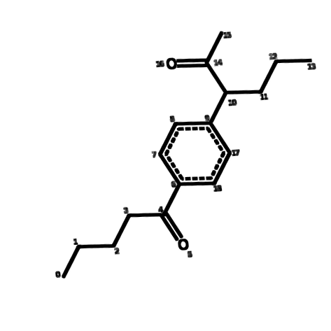 CCCCC(=O)c1ccc(C(CCC)C(C)=O)cc1